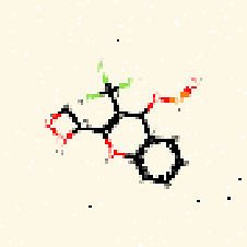 O=POC1C(C(F)(F)F)=C(C2COO2)Oc2ccccc21